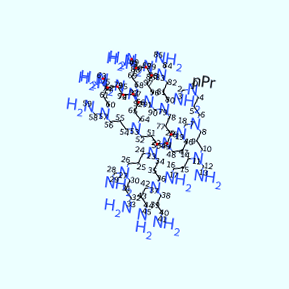 CCCN(CN)CCCN(CCCN(CN)CCCN)CN(CCCN(CCCN(CN)CCCN)CCCN(CCCN)CCCN)CCCN(CCCN(CCCN(CN)CCCN)CCCN(CCCN)CCCN)CCCN(CCCN(CN)CCCN)CN(CCCN)CCCN